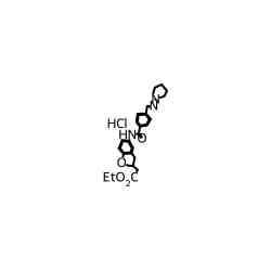 CCOC(=O)CC1COc2ccc(NC(=O)c3ccc(C=NN4CCCCC4)cc3)cc2C1.Cl